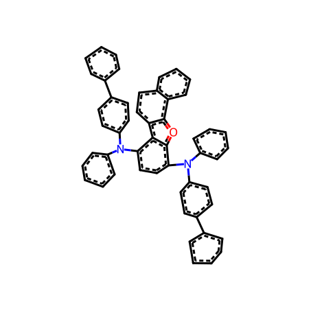 c1ccc(-c2ccc(N(c3ccccc3)c3ccc(N(c4ccccc4)c4ccc(-c5ccccc5)cc4)c4c3oc3c5ccccc5ccc34)cc2)cc1